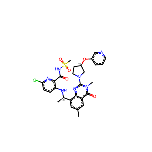 Cc1cc([C@@H](C)Nc2ccc(Cl)nc2C(=O)NS(C)(=O)=O)c2nc(N3CC[C@@H](Oc4cccnc4)C3)n(C)c(=O)c2c1